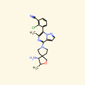 Cc1nc(N2CCC3(CC2)CO[C@@H](C)[C@H]3N)c2ccnn2c1-c1cccc(C#N)c1Cl